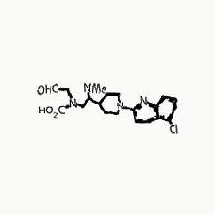 CNC(CN(CC=O)C(=O)O)C1CCN(c2ccc3c(Cl)cccc3n2)CC1